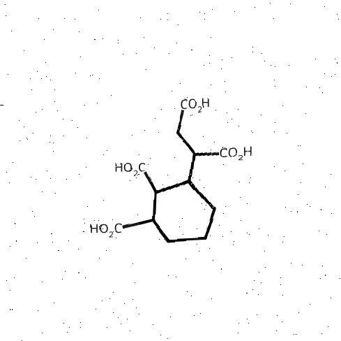 O=C(O)CC(C(=O)O)C1CCCC(C(=O)O)C1C(=O)O